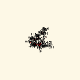 C=CCOC(=O)NC1(C)CC(OC2C(Oc3c4cc5cc3Oc3ccc(cc3Cl)[C@@H](O)[C@@H](NC(=O)[C@H](CC(C)C)N(C)C(=O)OCC=C)C(=O)N[C@@H](CC(N)=O)C(=O)N[C@H]5C(=O)N[C@H]3C(=O)N[C@H](C(=O)N[C@@H](C(=O)OCC=C)c5cc(O)cc(O)c5-c5cc3ccc5O)[C@H](O)c3ccc(c(Cl)c3)O4)OC(CNCc3cc(Cl)ccc3O)C(O)C2O)OC(C)C1O